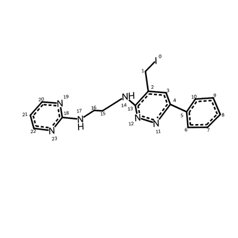 ICc1cc(-c2ccccc2)nnc1NCCNc1ncccn1